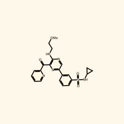 COCCNc1ncc(-c2cccc(S(=O)(=O)NC3CC3)c2)nc1C(=O)c1ccccn1